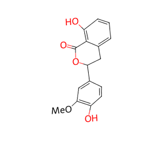 COc1cc(C2Cc3cccc(O)c3C(=O)O2)ccc1O